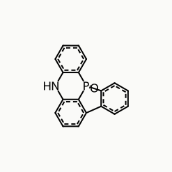 O=P12c3ccccc3Nc3cccc(c31)-c1ccccc12